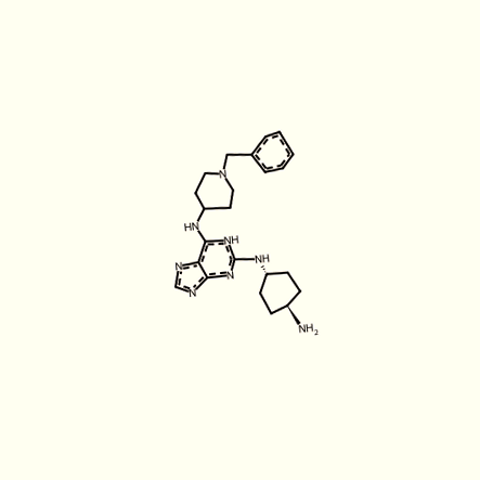 N[C@H]1CC[C@H](Nc2nc3ncnc-3c(NC3CCN(Cc4ccccc4)CC3)[nH]2)CC1